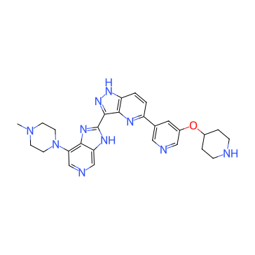 CN1CCN(c2cncc3[nH]c(-c4n[nH]c5ccc(-c6cncc(OC7CCNCC7)c6)nc45)nc23)CC1